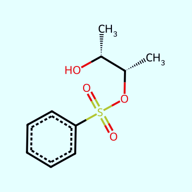 C[C@H](OS(=O)(=O)c1ccccc1)[C@@H](C)O